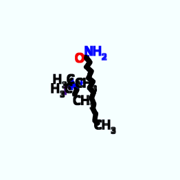 CCCCCCCCCCCCCC(N)=O.CCC[N+](C)(C)C.[I-]